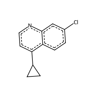 Clc1ccc2c(C3CC3)ccnc2c1